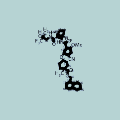 COc1cc(C#N)c(O[C@H]2CC[C@@](C)(C(=O)OCc3cccc4ccccc34)CC2)cc1C(=O)N[C@H]1[C@@H](C(=O)NCC(C)(C)C(F)(F)F)[C@H]2C=C[C@@H]1C2